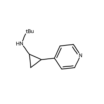 CC(C)(C)NC1CC1c1ccncc1